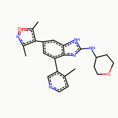 Cc1ccncc1-c1cc(-c2c(C)noc2C)cc2[nH]c(NC3CCOCC3)nc12